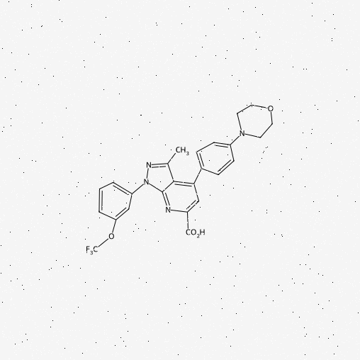 Cc1nn(-c2cccc(OC(F)(F)F)c2)c2nc(C(=O)O)cc(-c3ccc(N4CCOCC4)cc3)c12